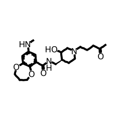 CNc1cc2c(c(C(=O)NC[C@@H]3CCN(CCCC(C)=O)CC3O)c1)OCCCO2